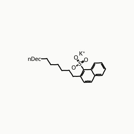 CCCCCCCCCCCCCCCCc1ccc2ccccc2c1S(=O)(=O)[O-].[K+]